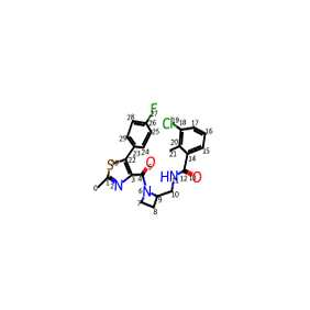 Cc1nc(C(=O)N2CCC2CNC(=O)c2cccc(Cl)c2C)c(-c2ccc(F)cc2)s1